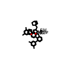 CC[CH2][Zr]([CH3])(=[SiH2])([CH]1C(CC23CCC(CC2)C3)=Cc2c(-c3cc(C)cc(C)c3)cccc21)[CH]1C(CC23CCC(CC2)C3)=Cc2c(-c3cc(C)cc(C)c3)cccc21.Cl.Cl